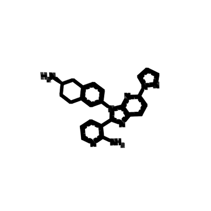 Nc1ncccc1-c1nc2ccc(-n3cccn3)nc2n1-c1ccc2c(c1)CC[C@@H](N)C2